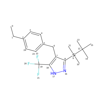 CCc1ccc(Cc2c([Si](C)(C)C(C)(C)C)n[nH]c2C(F)(F)F)cc1